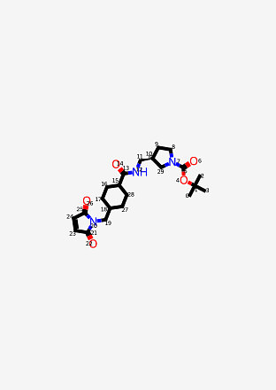 CC(C)(C)OC(=O)N1CC[C@H](CNC(=O)C2CCC(CN3C(=O)C=CC3=O)CC2)C1